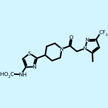 Cc1cc(C(F)(F)F)nn1CC(=O)N1CCC(c2nc(NC(=O)O)cs2)CC1